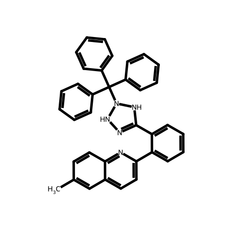 Cc1ccc2nc(-c3ccccc3C3=NNN(C(c4ccccc4)(c4ccccc4)c4ccccc4)N3)ccc2c1